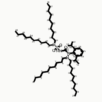 CCCCCCCCCCN(CCCCCCCCCC)N(C(=O)NS(=O)(=O)N(CCCCCCCCCC)CCCCCCCCCC)c1c(C(C)C)cccc1C(C)C